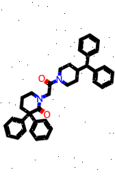 O=C(CN1CCCC(c2ccccc2)(c2ccccc2)C1=O)N1CCC(C(c2ccccc2)c2ccccc2)CC1